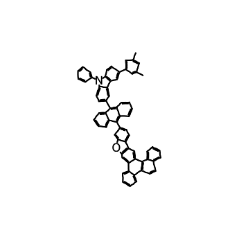 Cc1cc(C)cc(-c2ccc3c(c2)c2cc(-c4c5ccccc5c(-c5ccc6c(c5)oc5cc7c8ccccc8c8ccc9ccccc9c8c7cc56)c5ccccc45)ccc2n3-c2ccccc2)c1